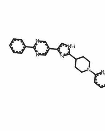 c1ccc(-c2ncc(-c3c[nH]c(C4CCN(c5cccnn5)CC4)n3)cn2)cc1